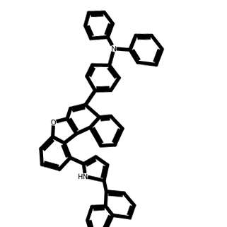 c1ccc(N(c2ccccc2)c2ccc(-c3cc4oc5cccc(-c6ccc(-c7cccc8ccccc78)[nH]6)c5c4c4ccccc34)cc2)cc1